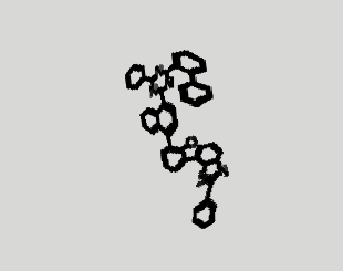 c1ccc(-c2nc(-c3ccccc3-c3ccccc3)nc(-c3ccc(-c4cccc5c4oc4ccc6nc(-c7ccccc7)sc6c45)c4ccccc34)n2)cc1